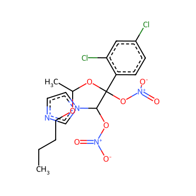 CCCCOC(C)OC(O[N+](=O)[O-])(c1ccc(Cl)cc1Cl)C(O[N+](=O)[O-])n1ccnc1